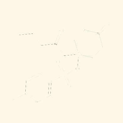 CCCC(=O)CS1(OS(=O)(=O)c2ccc(C)cc2)CCC(=O)CC1